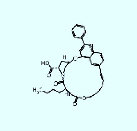 CCCC[C@@H]1NC(=O)OCCC/C=C/c2ccc3nc(-c4ccccc4)cc(c3c2)O[C@@H]2C[C@@H](C(=O)O)N(C2)C1=O